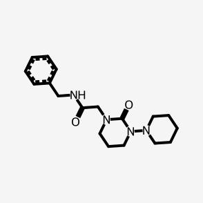 O=C(CN1CCCN(N2CCCCC2)C1=O)NCc1ccccc1